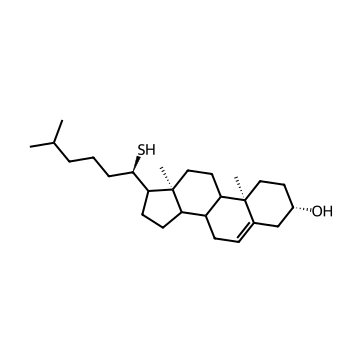 CC(C)CCC[C@@H](S)C1CCC2C3CC=C4C[C@@H](O)CC[C@]4(C)C3CC[C@@]21C